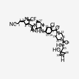 N#CC/C=C1\C=C(c2cnc3c(Nc4ccc(C(=O)N5CCN(C(=O)NCC6(O)CNC6)CC5)c(Cl)c4)nccn23)C(C(F)(F)F)=N1